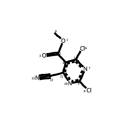 COC(=O)c1c(Cl)nc(Cl)nc1C#N